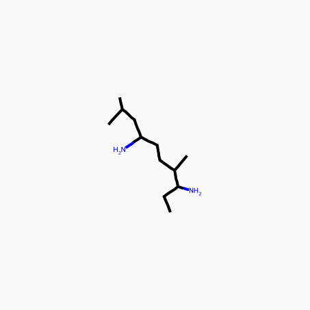 CCC(N)C(C)CCC(N)CC(C)C